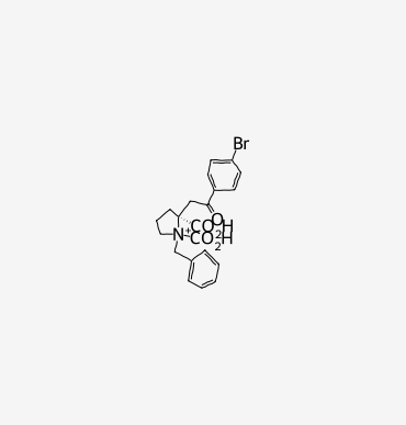 O=C(C[C@]1(C(=O)O)CCC[N+]1(Cc1ccccc1)C(=O)O)c1ccc(Br)cc1